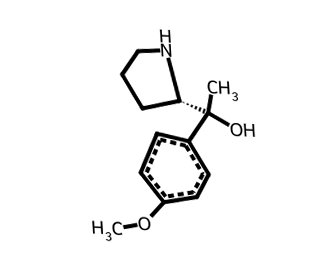 COc1ccc(C(C)(O)[C@@H]2CCCN2)cc1